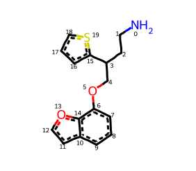 NCCC(COc1cccc2ccoc12)c1cccs1